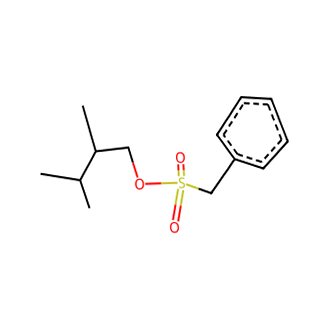 CC(C)C(C)COS(=O)(=O)Cc1ccccc1